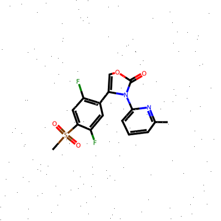 Cc1cccc(-n2c(-c3cc(F)c(S(C)(=O)=O)cc3F)coc2=O)n1